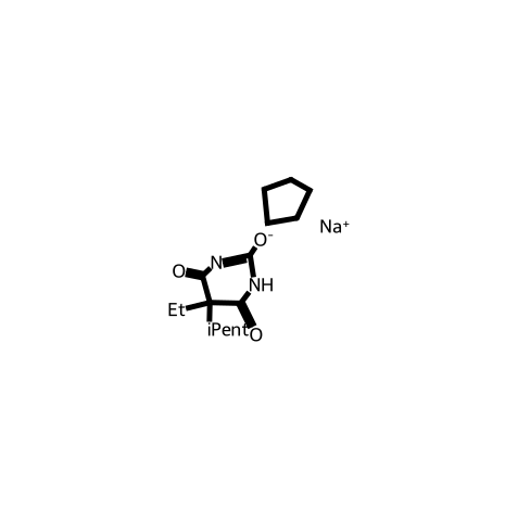 C1CCCC1.CCCC(C)C1(CC)C(=O)N=C([O-])NC1=O.[Na+]